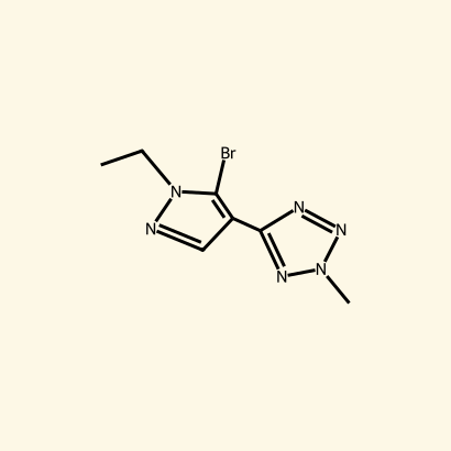 CCn1ncc(-c2nnn(C)n2)c1Br